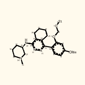 CCOCOc1cc(OC)ccc1-c1nnc(N[C@@H]2CCCN(C)C2)c2c1CCCC2